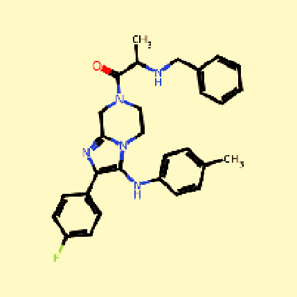 Cc1ccc(Nc2c(-c3ccc(F)cc3)nc3n2CCN(C(=O)C(C)NCc2ccccc2)C3)cc1